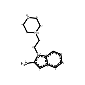 Cc1cc2ccccc2n1CCN1CCOCC1